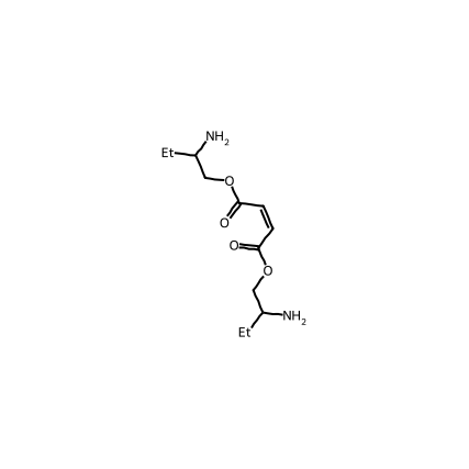 CCC(N)COC(=O)/C=C\C(=O)OCC(N)CC